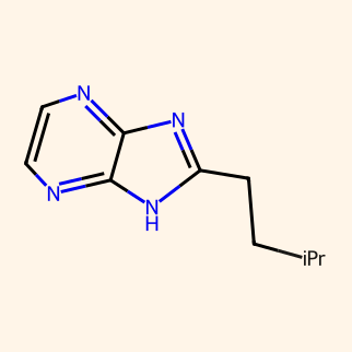 CC(C)CCc1nc2nccnc2[nH]1